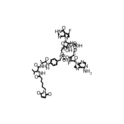 CC(C)[C@H](NC(=O)CCCCCN1C(=O)C=CC1=O)C(=O)N[C@@H](C)C(=O)Nc1ccc(CSP2(=O)OC[C@H]3O[C@@H](n4cc(F)c5c(=O)[nH]cnc54)[C@H](OP(=O)(O)OCC4O[C@@H](n5cnc6c(N)ncnc65)[C@H](F)[C@@H]4O2)[C@@H]3O)cc1